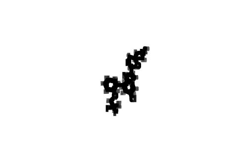 CN1CC2(CN=C(c3cn4cc(Cl)cc(-c5ccccc5OCC(F)(F)F)c4n3)O2)C1